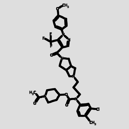 COc1ccc(-n2ncc(C(=O)N3CC4CN(CCCN(C(=O)OC5CCN(C(C)=O)CC5)c5ccc(C)c(Cl)c5)CC4C3)c2C(F)(F)F)cc1